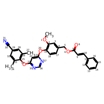 COc1cc(COC(=O)C=Cc2ccccc2)ccc1Oc1cc(Oc2c(C)cc(C#N)cc2C)ncn1